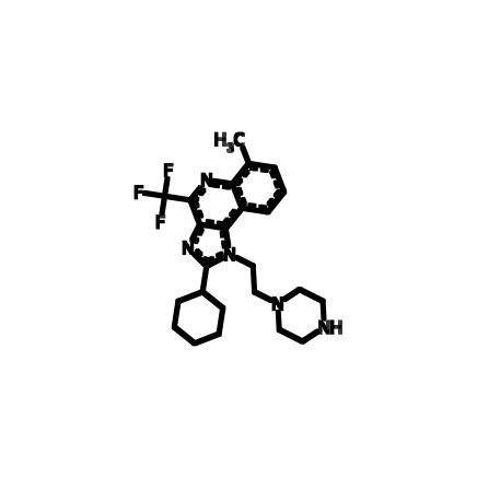 Cc1cccc2c1nc(C(F)(F)F)c1nc(C3CCCCC3)n(CCN3CCNCC3)c12